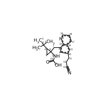 CC(C)(C)C1CC1(Cc1cc(CCC#N)cc2cccnc12)NC(=O)O